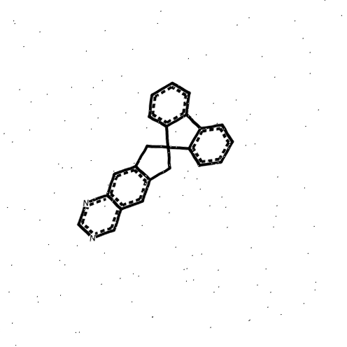 c1ccc2c(c1)-c1ccccc1C21Cc2cc3cncnc3cc2C1